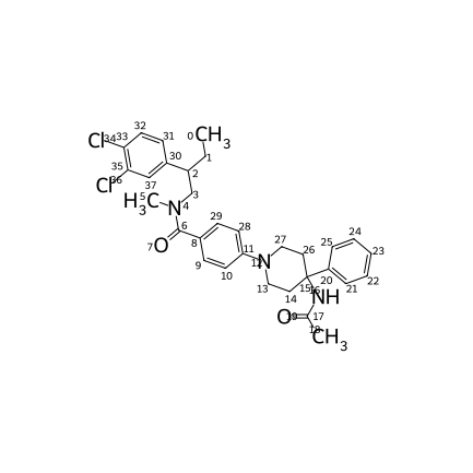 CCC(CN(C)C(=O)c1ccc(N2CCC(NC(C)=O)(c3ccccc3)CC2)cc1)c1ccc(Cl)c(Cl)c1